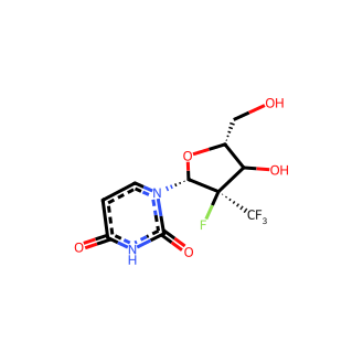 O=c1ccn([C@@H]2O[C@H](CO)C(O)[C@]2(F)C(F)(F)F)c(=O)[nH]1